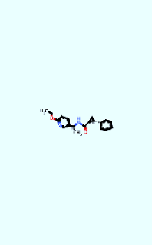 CCOc1ccc([C@H](C)NC(=O)[C@H]2C[C@@H]2c2ccccc2)cn1